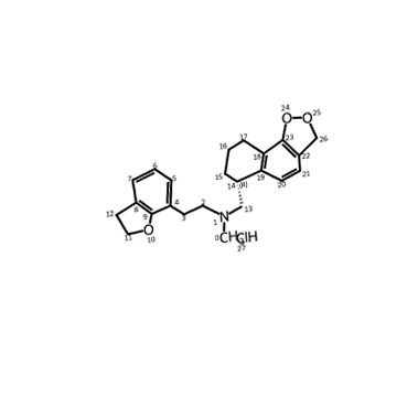 CN(CCc1cccc2c1OCC2)C[C@@H]1CCCc2c1ccc1c2OOC1.Cl